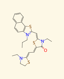 CCC[n+]1c(/C=c2\s/c(=C\C=C3/SCCN3CC)c(=O)n2CC)sc2c3ccccc3ccc21